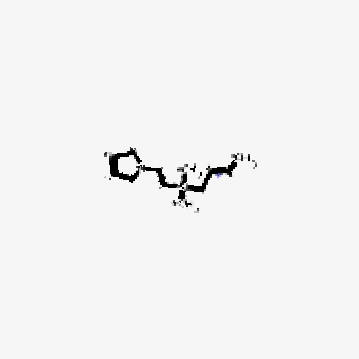 C/C=C/C[Si](C)(C)CCN1CCCC1